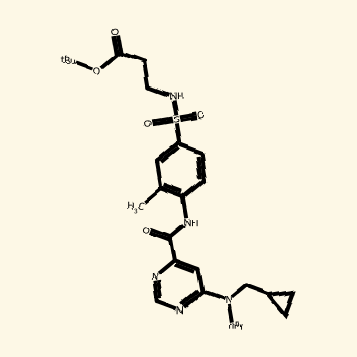 CCCN(CC1CC1)c1cc(C(=O)Nc2ccc(S(=O)(=O)NCCC(=O)OC(C)(C)C)cc2C)ncn1